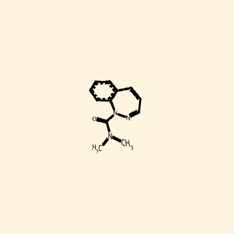 CN(C)C(=O)N1N=CC=Cc2ccccc21